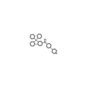 c1ccc(C2(c3ccccc3)c3ccccc3-c3ccc(Nc4ccc(-c5ccncc5)cc4)cc32)cc1